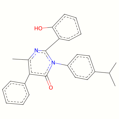 Cc1nc(-c2ccccc2O)n(-c2ccc(C(C)C)cc2)c(=O)c1-c1ccccc1